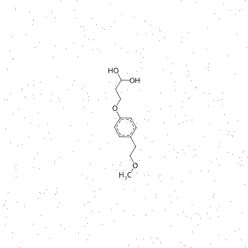 COCCc1ccc(OCCC(O)O)cc1